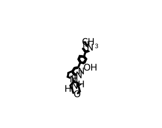 Cn1cc(-c2ccc(-c3cc4c(nn3)N([C@@H]3C[C@H]5COC[C@@H](C3)N5)CC4)c(O)c2)cn1